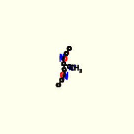 C[n+]1ccc(-c2cc(-c3nnc(-c4ccc(-c5ccccc5)cc4)o3)ccc2-c2ccc(-c3nnc(-c4ccc(-c5ccccc5)cc4)o3)cc2)cc1